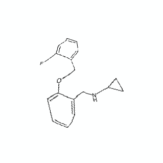 Fc1ccccc1COc1ccccc1CNC1CC1